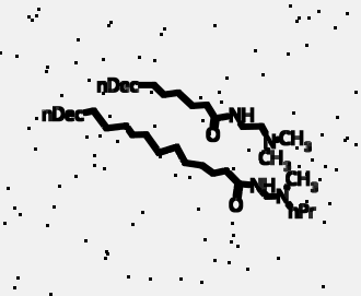 CCCCCCCCCCCCCCCC(=O)NCCN(C)C.CCCCCCCCCCCCCCCCCCCCCC(=O)NCN(C)CCC